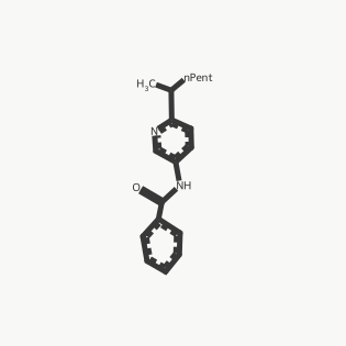 CCCCCC(C)c1ccc(NC(=O)c2ccccc2)cn1